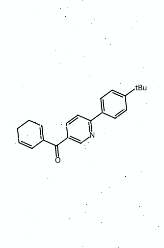 CC(C)(C)c1ccc(-c2ccc(C(=O)C3=CCCC=C3)cn2)cc1